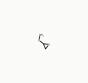 [SiH3]O[C]1CO1